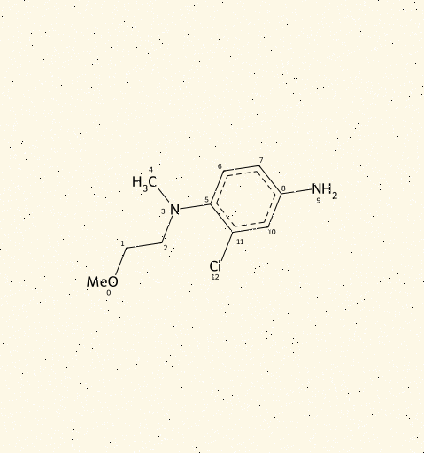 COCCN(C)c1ccc(N)cc1Cl